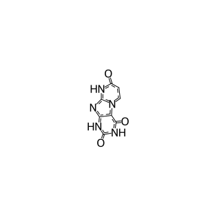 O=c1ccn2c(nc3[nH]c(=O)[nH]c(=O)c32)[nH]1